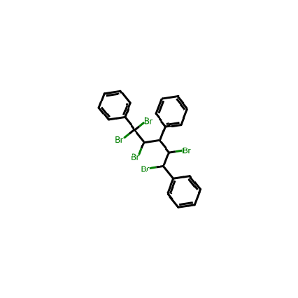 BrC(c1ccccc1)C(Br)C(c1ccccc1)C(Br)C(Br)(Br)c1ccccc1